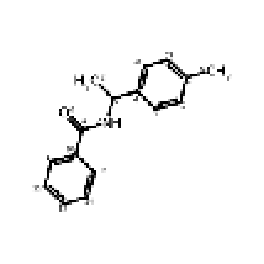 Cc1ccc(C(C)NC(=O)c2ccccc2)cc1